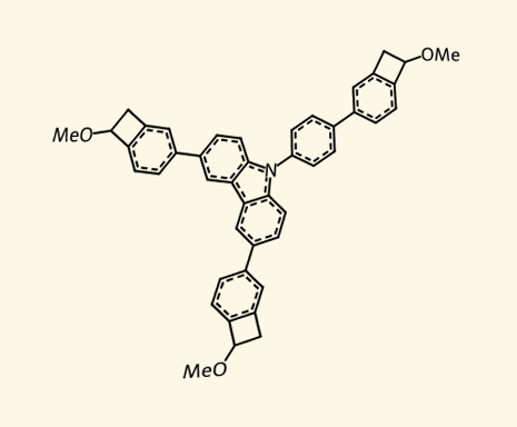 COC1Cc2cc(-c3ccc(-n4c5ccc(-c6ccc7c(c6)CC7OC)cc5c5cc(-c6ccc7c(c6)CC7OC)ccc54)cc3)ccc21